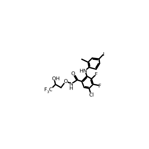 Cc1cc(I)ccc1Nc1c(C(=O)NOCC(O)C(F)(F)F)cc(Cl)c(F)c1F